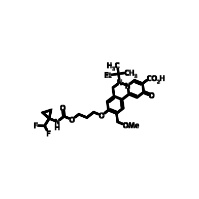 CCC(C)(C)N1Cc2cc(OCCCOC(=O)NC3(C(F)F)CC3)c(COC)cc2-c2cc(=O)c(C(=O)O)cn21